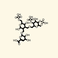 CC1OC(COCC2C(O)C(COS(=O)(=O)O)OC(O)C2COC2OC(C(=O)O)=CC(O)C2O)C(OS(=O)(=O)O)C(O)C1OS(=O)(=O)O